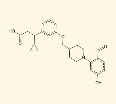 O=Cc1ccc(O)cc1N1CCC(COc2cccc(C(CC(=O)O)C3CC3)c2)CC1